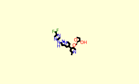 Cc1cc(-c2ccn3nc(Nc4cnc(C(F)F)cn4)cc3c2)c(OC[C@H]2OCC[C@@H]2O)cn1